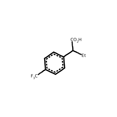 CCC(C(=O)O)c1ccc(C(F)(F)F)cc1